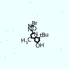 Cc1cc(-c2nnc(Br)o2)nc2c(C(C)(C)C)cc(O)cc12